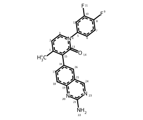 Cc1ccn(-c2ccc(F)c(F)c2)c(=O)c1-c1ccc2nc(N)ncc2c1